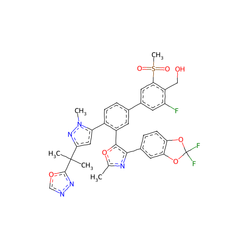 Cc1nc(-c2ccc3c(c2)OC(F)(F)O3)c(-c2cc(-c3cc(F)c(CO)c(S(C)(=O)=O)c3)ccc2-c2cc(C(C)(C)c3nnco3)nn2C)o1